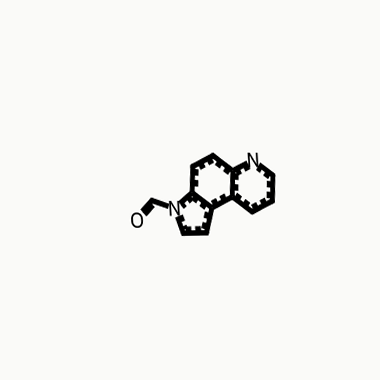 O=Cn1ccc2c3cccnc3ccc21